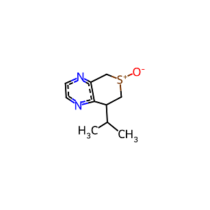 CC(C)C1C[S+]([O-])Cc2nccnc21